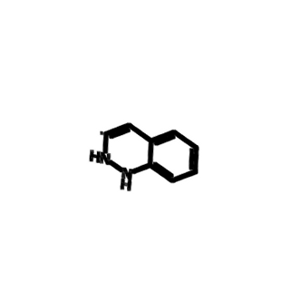 [C]1=Cc2ccccc2NN1